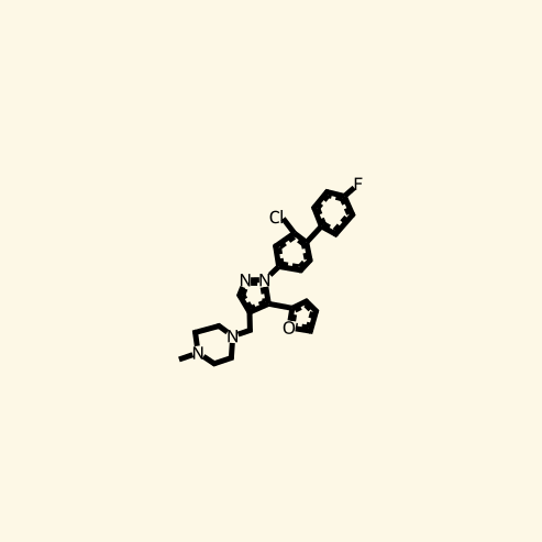 CN1CCN(Cc2cnn(-c3ccc(-c4ccc(F)cc4)c(Cl)c3)c2-c2ccco2)CC1